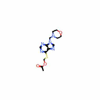 CC(=O)OCSc1ncnc2c1ncn2CN1CCOCC1